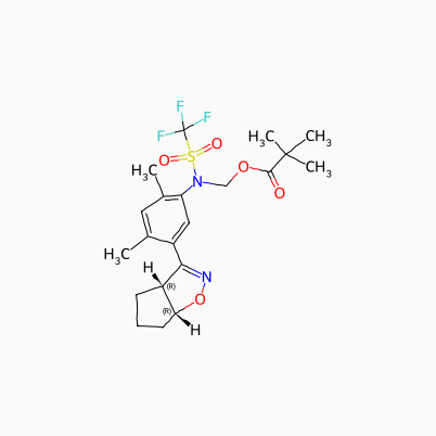 Cc1cc(C)c(N(COC(=O)C(C)(C)C)S(=O)(=O)C(F)(F)F)cc1C1=NO[C@@H]2CCC[C@H]12